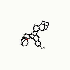 N#Cc1ccc2c(c1)cc1c3c4c(ncc3n3c5cnc6c(c5c2c13)C1CC2CC(CC6C2)C1)C1CC2CC3CC4CC321